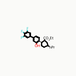 CCCC1CC[C@@H](c2ccc(-c3cc(F)c(F)c(F)c3)cc2O)C(C(=O)OCC)C1